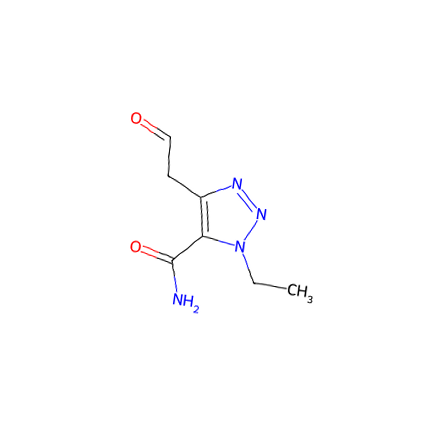 CCn1nnc(CC=O)c1C(N)=O